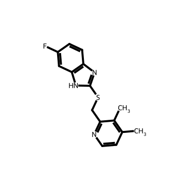 Cc1ccnc(CSc2nc3ccc(F)cc3[nH]2)c1C